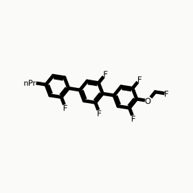 CCCc1ccc(-c2cc(F)c(-c3cc(F)c(OCF)c(F)c3)c(F)c2)c(F)c1